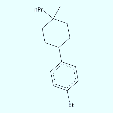 CCCC1(C)CCC(c2ccc(CC)cc2)CC1